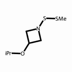 CSSN1CC(OC(C)C)C1